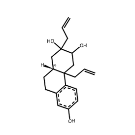 C=CCC1(O)C[C@H]2CCc3cc(O)ccc3C2(CC=C)CC1O